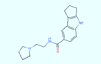 O=C(NCCN1CCCC1)c1ccc2[nH]c3c(c2c1)CCC3